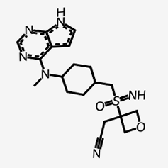 CN(c1ncnc2[nH]ccc12)C1CCC(CS(=N)(=O)C2(CC#N)COC2)CC1